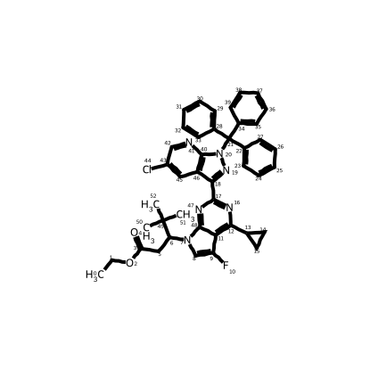 CCOC(=O)CC(n1cc(F)c2c(C3CC3)nc(-c3nn(C(c4ccccc4)(c4ccccc4)c4ccccc4)c4ncc(Cl)cc34)nc21)C(C)(C)C